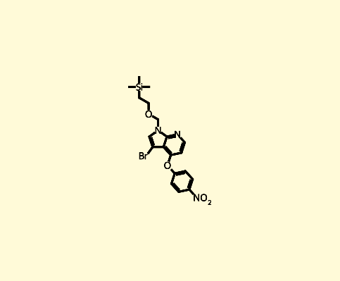 C[Si](C)(C)CCOCn1cc(Br)c2c(Oc3ccc([N+](=O)[O-])cc3)ccnc21